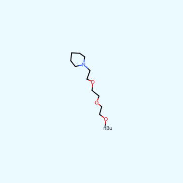 CCCCOCCOCCOCCN1CCCCC1